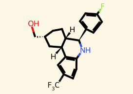 OC[C@@H]1CC[C@@H]2[C@@H](c3ccc(F)cc3)Nc3ccc(C(F)(F)F)cc3[C@@H]2C1